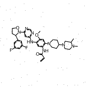 C=CC(=O)Nc1cc(Nc2cc(N3OCCC3c3cc(F)cc(F)c3)ncn2)c(OC)cc1N1CCC(N2CCN(C)C(C)C2)CC1